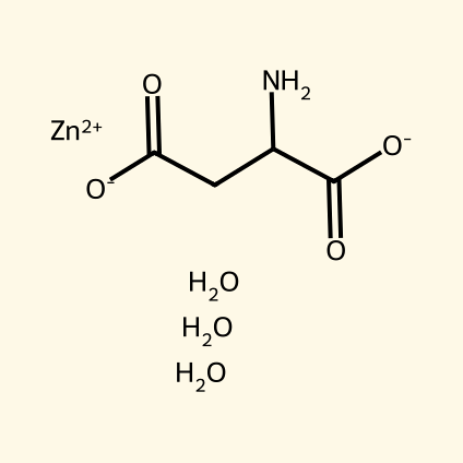 NC(CC(=O)[O-])C(=O)[O-].O.O.O.[Zn+2]